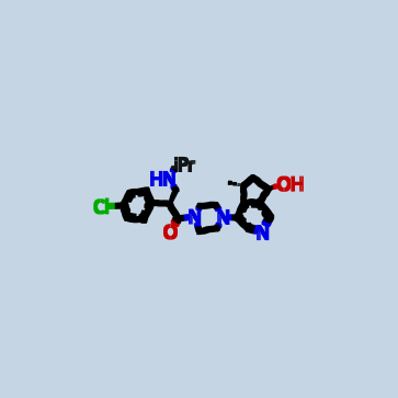 CC(C)NC[C@@H](C(=O)N1CCN(c2cncc3c2[C@H](C)C[C@H]3O)CC1)c1ccc(Cl)cc1